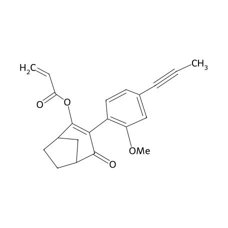 C=CC(=O)OC1=C(c2ccc(C#CC)cc2OC)C(=O)C2CCC1C2